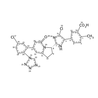 Cc1ccc(-c2[nH]c([C@@H]3CCc4cc(-c5cc(Cl)ccc5-n5cnnn5)cc(=O)n43)nc2Cl)cc1C(=O)O